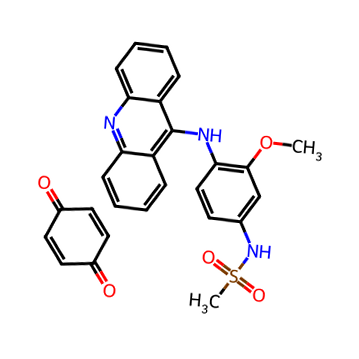 COc1cc(NS(C)(=O)=O)ccc1Nc1c2ccccc2nc2ccccc12.O=C1C=CC(=O)C=C1